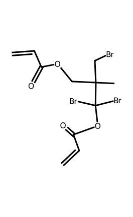 C=CC(=O)OCC(C)(CBr)C(Br)(Br)OC(=O)C=C